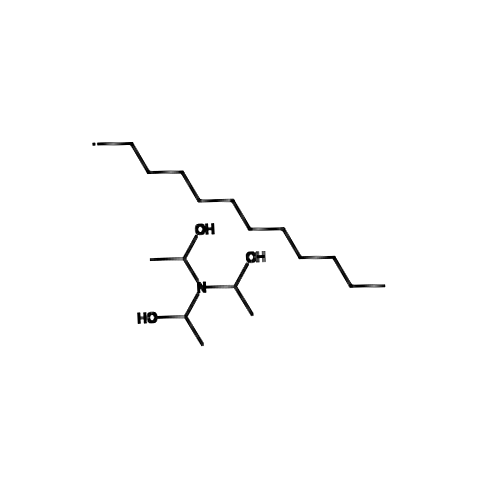 CC(O)N(C(C)O)C(C)O.[CH2]CCCCCCCCCCC